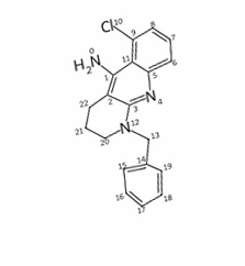 Nc1c2c(nc3cccc(Cl)c13)N(Cc1ccccc1)CCC2